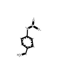 C=Cc1ccc(N=S(=O)=O)cc1